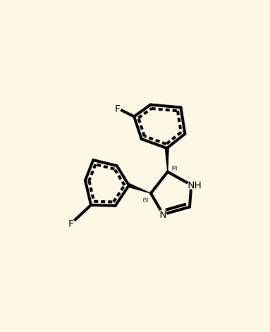 Fc1cccc([C@H]2NC=N[C@H]2c2cccc(F)c2)c1